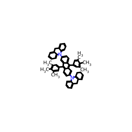 Cc1cc(-c2c3ccc(N4c5ccccc5Cc5ccccc54)cc3c(-c3cc(C)c(C)c(C)c3)c3ccc(N4C5=C(C=CCC5)Cc5ccccc54)cc23)cc(C)c1C